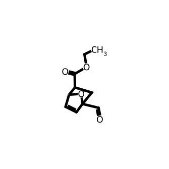 CCOC(=O)C1CC2(C=O)C=CC1O2